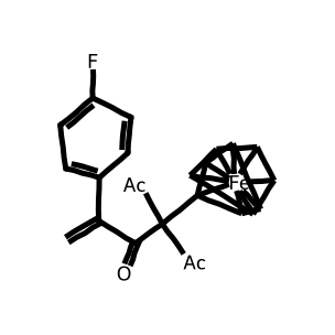 C=C(C(=O)C(C(C)=O)(C(C)=O)[C]12[CH]3[CH]4[CH]5[CH]1[Fe]45321678[CH]2[CH]1[CH]6[CH]7[CH]28)c1ccc(F)cc1